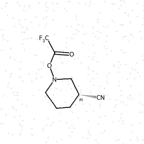 N#C[C@@H]1CCCN(OC(=O)C(F)(F)F)C1